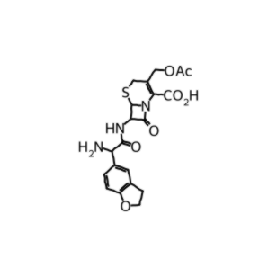 CC(=O)OCC1=C(C(=O)O)N2C(=O)C(NC(=O)C(N)c3ccc4c(c3)CCO4)C2SC1